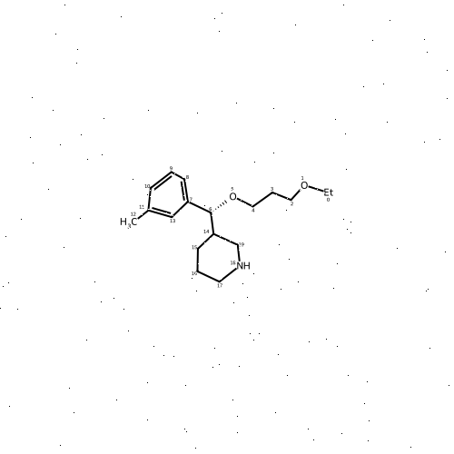 CCOCCCO[C@@H](c1cccc(C)c1)C1CCCNC1